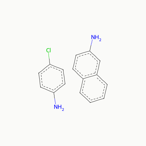 Nc1ccc(Cl)cc1.Nc1ccc2ccccc2c1